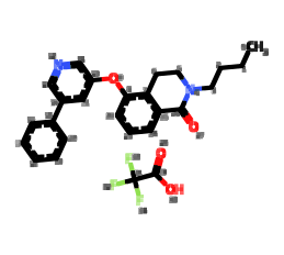 CCCCN1CCc2c(Oc3cncc(-c4ccccc4)c3)cccc2C1=O.O=C(O)C(F)(F)F